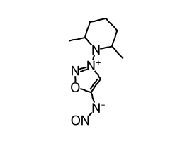 CC1CCCC(C)N1[n+]1cc([N-]N=O)on1